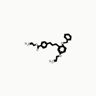 C=CCOC(=O)c1ccc(CCCc2cc(OCC=C)ccc2OCc2ccccc2)cc1